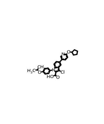 CC(C)Oc1ccc(-n2c(C(=O)O)c(Cl)c3cc(-c4ccc(OC5CCCC5)nc4)ccc32)cc1